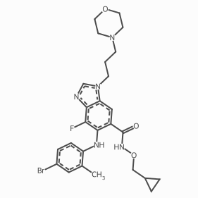 Cc1cc(Br)ccc1Nc1c(C(=O)NOCC2CC2)cc2c(ncn2CCCN2CCOCC2)c1F